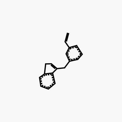 C=Cc1cccc(CC2=CCc3ccccc32)c1